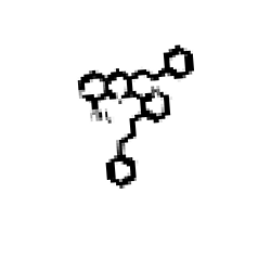 Nc1nccc2cc(CCc3ccccc3)c(-c3ncccc3CCCc3ccccc3)nc12